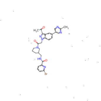 CC(=O)c1nn(CC(=O)N2CCCC(CNC(=O)c3cccc(Br)n3)C2)c2ccc(-c3cnc(C)nc3)cc12